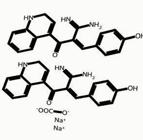 N=C(N)/C(=C\c1ccc(O)cc1)C(=O)C1=CCNc2ccccc21.N=C(N)/C(=C\c1ccc(O)cc1)C(=O)C1=CCNc2ccccc21.O=C([O-])[O-].[Na+].[Na+]